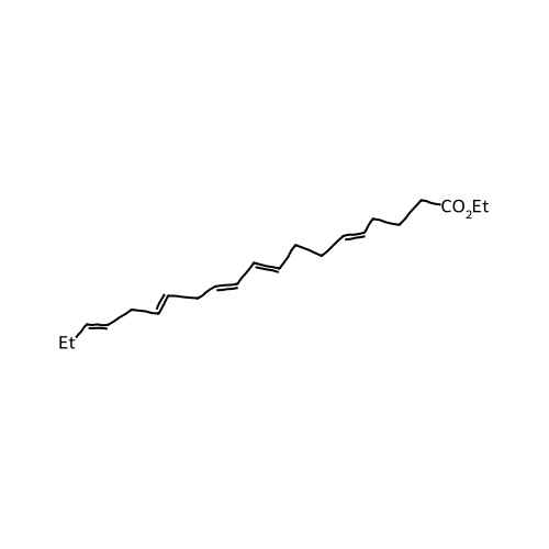 CCC=CCC=CCC=CC=CCCC=CCCCC(=O)OCC